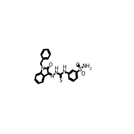 NS(=O)(=O)c1cccc(NC(=S)NN=C2C(=O)N(Cc3ccccc3)c3ccccc32)c1